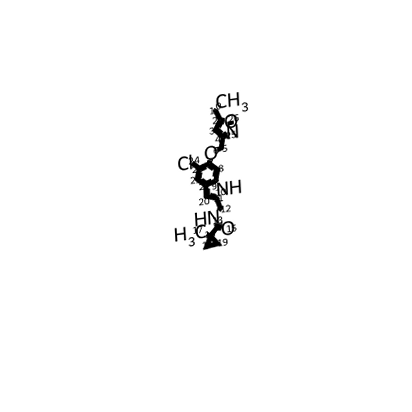 CCc1cc(COc2cc3[nH]c(CNC(=O)C4(C)CC4)cc3cc2Cl)no1